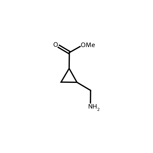 COC(=O)C1CC1CN